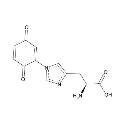 N[C@@H](Cc1cn(C2=CC(=O)C=CC2=O)cn1)C(=O)O